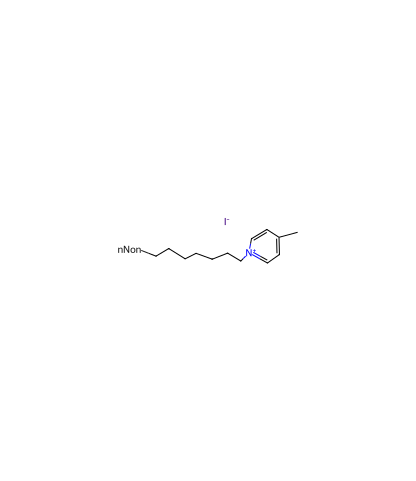 CCCCCCCCCCCCCCCC[n+]1ccc(C)cc1.[I-]